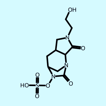 O=C1C2C(CC3CN2C(=O)N3OS(=O)(=O)O)CN1CCO